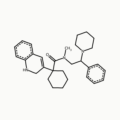 CN(CC(c1ccccc1)N1CCCCC1)C(=O)C1(C2=Cc3ccccc3NC2)CCCCC1